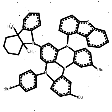 CC(C)(C)c1ccc(N2c3ccc(C(C)(C)C)cc3B3c4cc(C(C)(C)C)ccc4N(c4cccc5sc6ccccc6c45)c4cc(N5c6ccccc6C6(C)CCCCC56C)cc2c43)cc1